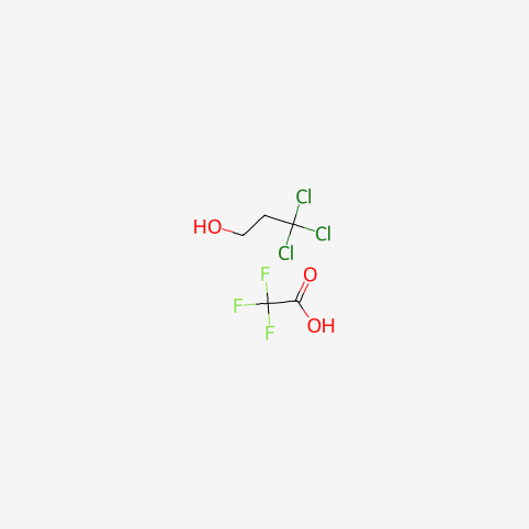 O=C(O)C(F)(F)F.OCCC(Cl)(Cl)Cl